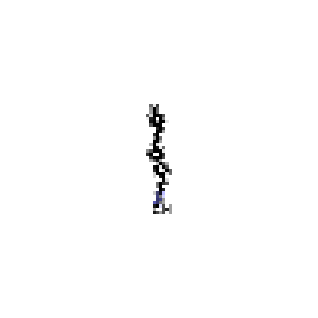 N#C/C=C/C=C/CCC1CCC([C@H]2CC[C@H](CCCCc3ccc(F)cc3)CC2)CC1